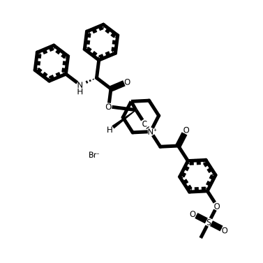 CS(=O)(=O)Oc1ccc(C(=O)C[N+]23CCC(CC2)[C@@H](OC(=O)[C@H](Nc2ccccc2)c2ccccc2)C3)cc1.[Br-]